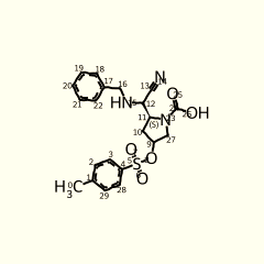 Cc1ccc(S(=O)(=O)OC2C[C@@H](C(C#N)NCc3ccccc3)N(C(=O)O)C2)cc1